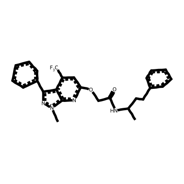 CC(CCc1ccccc1)NC(=O)COc1cc(C(F)(F)F)c2c(-c3ccccc3)nn(C)c2n1